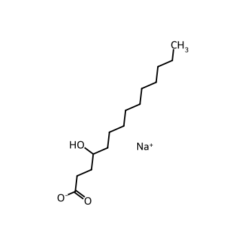 CCCCCCCCCCC(O)CCC(=O)[O-].[Na+]